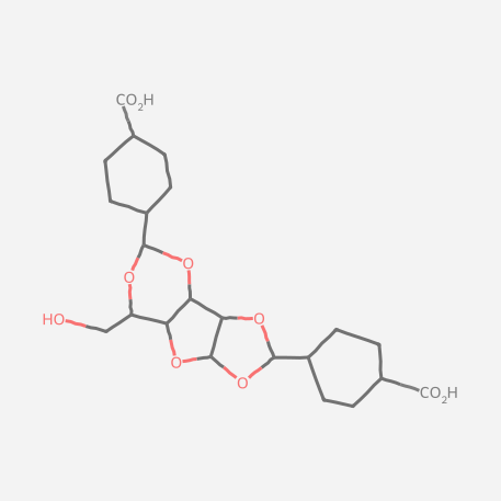 O=C(O)C1CCC(C2OC3OC4C(CO)OC(C5CCC(C(=O)O)CC5)OC4C3O2)CC1